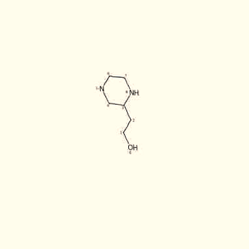 OCCC1C[N]CCN1